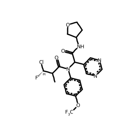 CC(C(=O)N(c1ccc(OC(F)(F)F)cc1)C(C(=O)NC1CCOC1)c1cncnc1)[C@H](F)Cl